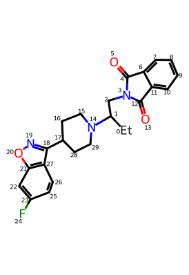 CCC(CN1C(=O)c2ccccc2C1=O)N1CCC(c2noc3cc(F)ccc23)CC1